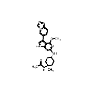 COc1nc(N[C@H]2CC[C@](C)(NC(C)=O)CC2)nc2[nH]cc(-c3ccc4nncn4c3)c12